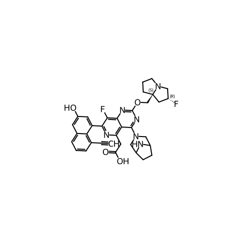 C#Cc1cccc2cc(O)cc(-c3nc(CC(=O)O)c4c(N5CC6CCC(C5)N6)nc(OC[C@@]56CCCN5C[C@H](F)C6)nc4c3F)c12